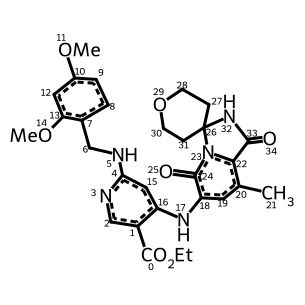 CCOC(=O)c1cnc(NCc2ccc(OC)cc2OC)cc1Nc1cc(C)c2n(c1=O)C1(CCOCC1)NC2=O